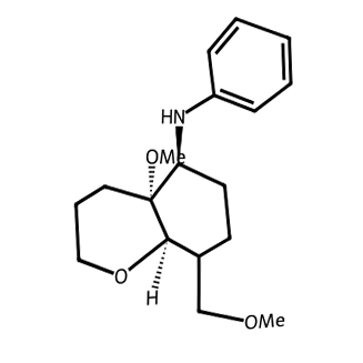 COCC1CC[C@H](Nc2ccccc2)[C@]2(OC)CCCO[C@H]12